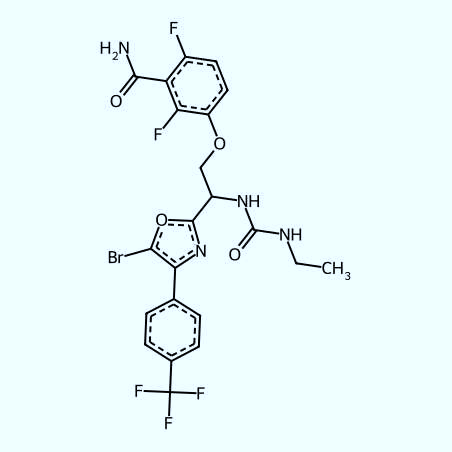 CCNC(=O)NC(COc1ccc(F)c(C(N)=O)c1F)c1nc(-c2ccc(C(F)(F)F)cc2)c(Br)o1